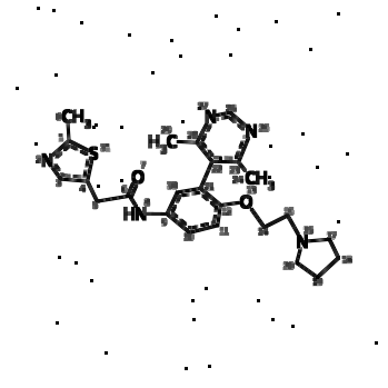 Cc1ncc(CC(=O)Nc2ccc(OCCN3CCCC3)c(-c3c(C)ncnc3C)c2)s1